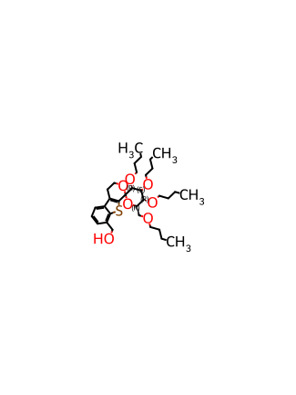 CCCCOC[C@H]1OC2(OCCc3c2sc2c(CO)cccc32)[C@H](OCCCC)[C@@H](OCCCC)[C@@H]1OCCCC